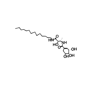 CCCCCCCCCCCCCCNC(=O)[C@H](O)[C@H](C)NC(=O)C1=C[C@H](O)[C@H](O)[C@@H](O)C1